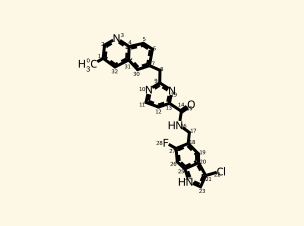 Cc1cnc2ccc(Cc3nccc(C(=O)NCc4cc5c(Cl)c[nH]c5cc4F)n3)cc2c1